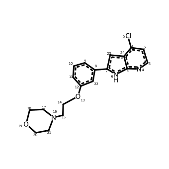 Clc1ccnc2[nH]c(-c3cccc(OCCN4CCOCC4)c3)cc12